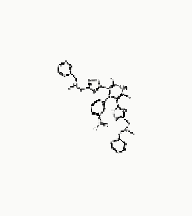 CC1=C(c2nc(CN(C)Cc3ccccc3)no2)C(c2cccc([N+](=O)[O-])c2)C(c2nc(CN(C)Cc3ccccc3)no2)=C(C)N1